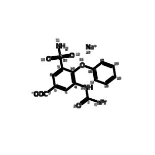 CCCC(=O)Nc1cc(C(=O)[O-])cc(S(N)(=O)=O)c1Oc1ccccc1.[Na+]